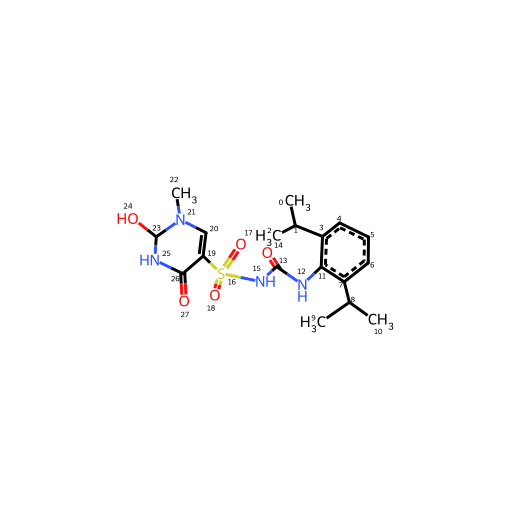 CC(C)c1cccc(C(C)C)c1NC(=O)NS(=O)(=O)C1=CN(C)C(O)NC1=O